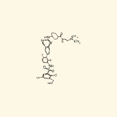 CN(C)CCNC(=O)C1CCC(Nc2ncc3cc(-c4c(F)ccc(NS(=O)(=O)c5cc(Cl)cc(CO)c5Cl)c4F)ccc3n2)CC1